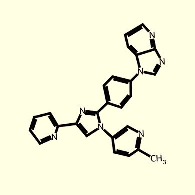 Cc1ccc(-n2cc(-c3ccccn3)nc2-c2ccc(-n3cnc4ncccc43)cc2)cn1